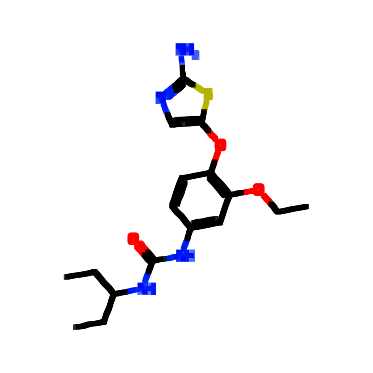 CCOc1cc(NC(=O)NC(CC)CC)ccc1Oc1cnc(N)s1